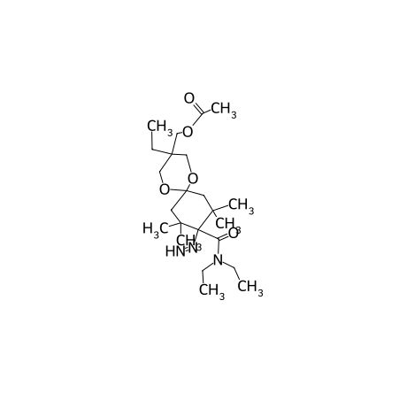 CCN(CC)C(=O)C1(N=N)C(C)(C)CC2(CC1(C)C)OCC(CC)(COC(C)=O)CO2